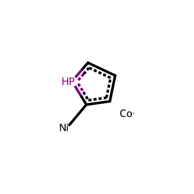 [Co].[Ni][c]1ccc[pH]1